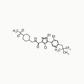 CCc1cc(CC(C)(C)C(F)(F)F)ncc1-c1c(Cl)c(C(=O)NCC2CCC(S(C)(=O)=O)CC2)nn1CC